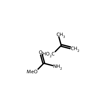 C=C(C)C(=O)O.COC(N)=O